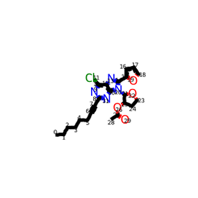 CCCCCCC#Cc1nc(Cl)c2nc(-c3ccco3)n(C3OCCC3OC(C)=O)c2n1